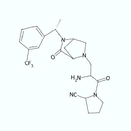 C[C@@H](c1cccc(C(F)(F)F)c1)N1C(=O)C2CC1CN2CC(N)C(=O)N1CCCC1C#N